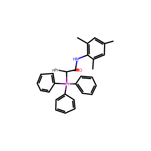 CCCC(C(=O)Nc1c(C)cc(C)cc1C)[PH](c1ccccc1)(c1ccccc1)c1ccccc1